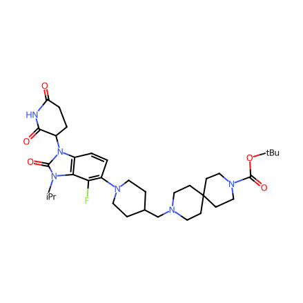 CC(C)n1c(=O)n(C2CCC(=O)NC2=O)c2ccc(N3CCC(CN4CCC5(CC4)CCN(C(=O)OC(C)(C)C)CC5)CC3)c(F)c21